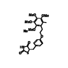 COc1c(C)c(CCOc2ccc(CC3SC(=O)NC3=O)cc2)c(OC)c(OC)c1OC.[Na]